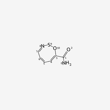 NC(=O)c1ccccnso1